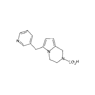 O=C(O)N1CCn2c(Cc3cccnc3)ccc2C1